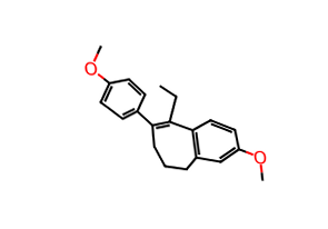 CCC1=C(c2ccc(OC)cc2)CCCc2cc(OC)ccc21